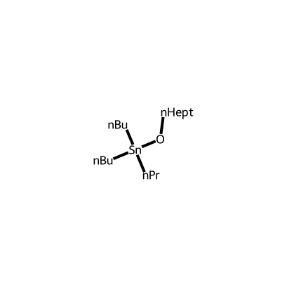 CCCCCCC[O][Sn]([CH2]CC)([CH2]CCC)[CH2]CCC